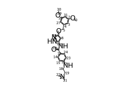 COc1cc(COc2cc(NC(=O)c3ccc(NCCN(C)C)cc3)[nH]n2)cc(OC)c1